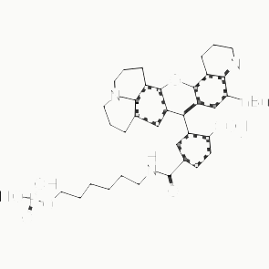 CCCCc1cc2c(c3c1=NCCC3)Oc1c(cc3c4c1CCCN4CCC3)C=2c1cc(C(=O)NCCCCCCOP(=O)(O)O)ccc1C(=O)O